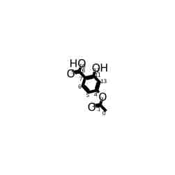 CC(=O)Oc1ccc(C(=O)O)c(O)c1